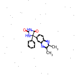 Cc1nc2ccc(C3(c4ccccc4)NC(=O)NC3=O)cc2nc1C